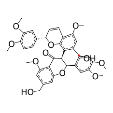 COc1ccc([C@@H]2C=Cc3c(OC)cc(CO)c([C@@H]4C(=O)c5c(OC)cc(CO)cc5O[C@@H]4c4ccc(OC)c(OC)c4)c3O2)cc1OC